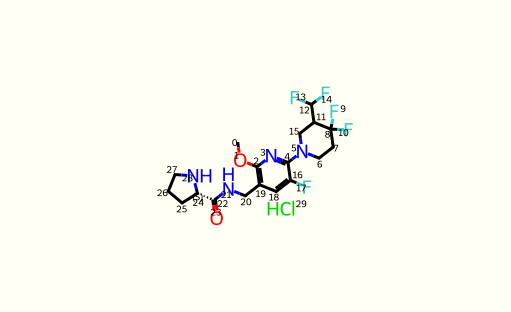 COc1nc(N2CCC(F)(F)C(C(F)F)C2)c(F)cc1CNC(=O)[C@@H]1CCCN1.Cl